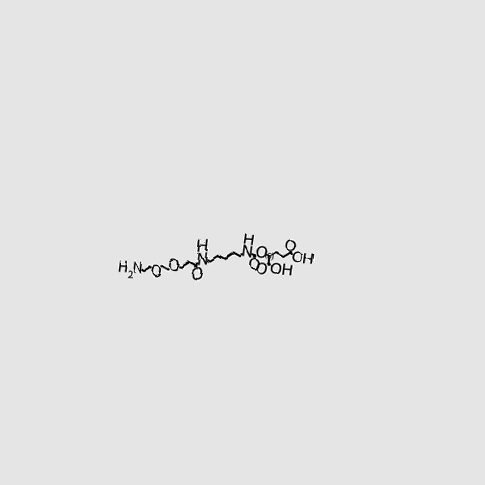 NCCOCCOCCC(=O)NCCCCCNC(=O)O[C@@H](CCC(=O)O)C(=O)O